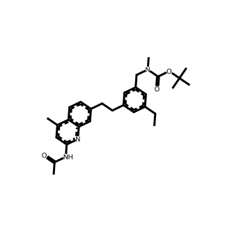 CCc1cc(CCc2ccc3c(C)cc(NC(C)=O)nc3c2)cc(CN(C)C(=O)OC(C)(C)C)c1